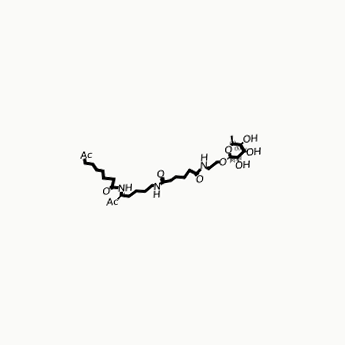 CC(=O)CCCCCCC(=O)N[C@@H](CCCCNC(=O)CCCCC(=O)NCCO[C@@H]1O[C@@H](C)[C@@H](O)[C@@H](O)[C@@H]1O)C(C)=O